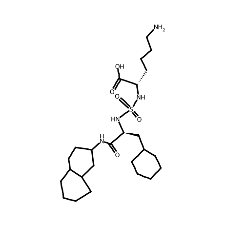 NCCCC[C@H](NS(=O)(=O)N[C@@H](CC1CCCCC1)C(=O)NC1CCC2CCCCC2C1)C(=O)O